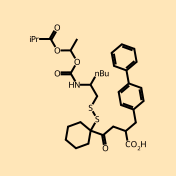 CCCCC(CSSC1(C(=O)CC(Cc2ccc(-c3ccccc3)cc2)C(=O)O)CCCCC1)NC(=O)OC(C)OC(=O)C(C)C